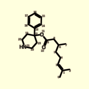 CC(C)=CCCC(C)CC(=O)OC1(c2ccccc2)CCNCC1